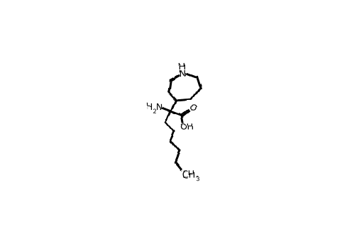 CCCCCCC(N)(C(=O)O)C1CCCNCC1